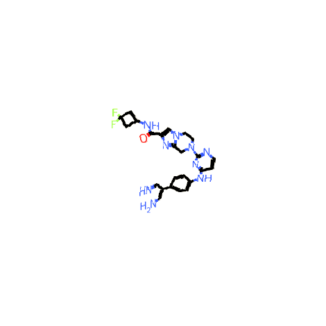 N=C/C(=C\N)c1ccc(Nc2ccnc(N3CCn4cc(C(=O)NC5CC(F)(F)C5)nc4C3)n2)cc1